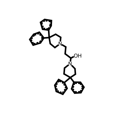 OC(CCN1CCC(c2ccccc2)(c2ccccc2)CC1)N1CCC(c2ccccc2)(c2ccccc2)CC1